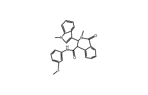 CSc1cccc(NC(=O)C2c3ccccc3C(=O)N(C)C2c2cn(C)c3ccccc23)c1